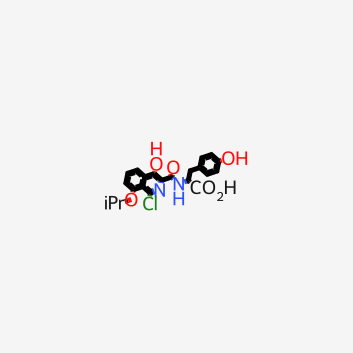 CC(C)Oc1cccc2c(O)c(C(=O)NC(Cc3ccc(O)cc3)C(=O)O)nc(Cl)c12